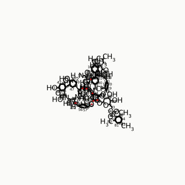 CN[C@@H](CC(C)C)C(=O)N[C@H]1C(=O)N[C@@H](CC(N)=O)C(=O)N[C@H]2C(=O)N[C@H]3C(=O)N[C@H](C(=O)N[C@@H](C(=O)O)c4cc(O)cc(O)c4-c4cc3ccc4O)[C@H](O)c3ccc(c(Cl)c3)Oc3cc2cc(c3OC2OC(COS(=O)(=O)c3c(C)cc(C)cc3C)C(O)C(O)C2OC2CC(C)(NCc3ccc(-c4ccc(Cl)cc4)cc3)C(O)C(C)O2)Oc2ccc(cc2Cl)[C@H]1O